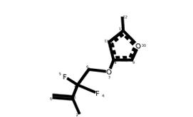 C=C(C)C(F)(F)COc1coc(C)c1